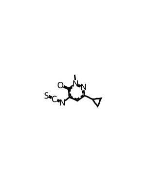 Cn1nc(C2CC2)cc(N=C=S)c1=O